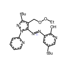 CCOOCc1c(C(C)(C)C)nn(-c2ccccn2)c1/N=N/c1cc(C(C)(C)C)cnc1O